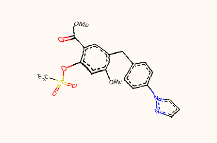 COC(=O)c1cc(Cc2ccc(-n3cccn3)cc2)c(OC)cc1OS(=O)(=O)C(F)(F)F